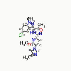 COc1nc(C2=NO[C@@H](C)[C@@H](c3nn(C)c4ccc(Cl)cc34)N2)ccc1-n1cnc(C)c1